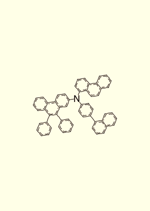 c1ccc(-c2c(-c3ccccc3)c3cc(N(c4ccc(-c5cccc6ccccc56)cc4)c4cccc5c4ccc4ccccc45)ccc3c3ccccc23)cc1